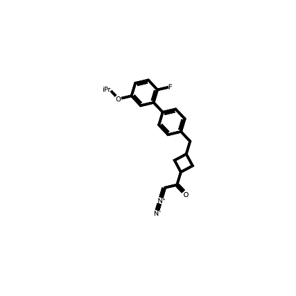 CC(C)Oc1ccc(F)c(-c2ccc(CC3CC(C(=O)C=[N+]=[N-])C3)cc2)c1